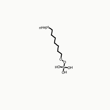 CCCCCCCCCCCCCCOO[Si](O)(O)O